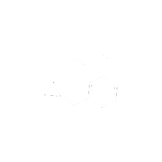 C(=C1CC1)c1ccccc1.C=COC(C)=O